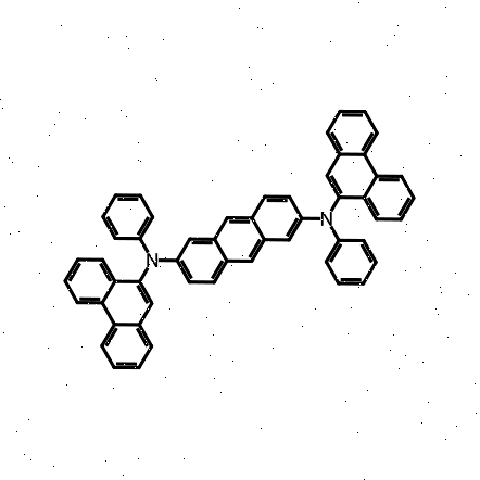 c1ccc(N(c2ccc3cc4cc(N(c5ccccc5)c5cc6ccccc6c6ccccc56)ccc4cc3c2)c2cc3ccccc3c3ccccc23)cc1